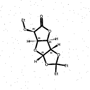 CCO[C@H]1C(=O)O[C@H]2[C@@H]3OC(CC)(CC)O[C@@H]3O[C@H]21